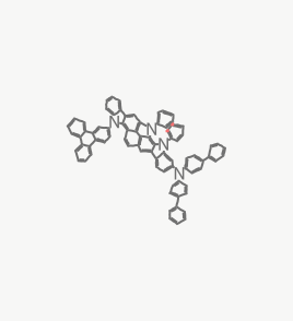 c1ccc(-c2ccc(N(c3ccc(-c4ccccc4)cc3)c3ccc4c5cc6ccc7c8c6c(c5n(-c5ccccc5)c4c3)n(-c3ccccc3)c8cc3c4ccccc4n(-c4ccc5c6ccccc6c6ccccc6c5c4)c37)cc2)cc1